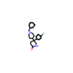 O=C1CCC(c2ccc(F)cc2)(C2CCN(Cc3ccccc3)CC2)CN1